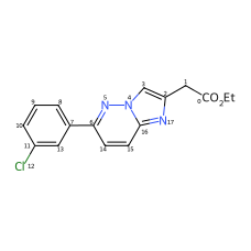 CCOC(=O)Cc1cn2nc(-c3cccc(Cl)c3)ccc2n1